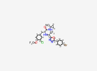 N#CC1(NC(=O)[C@H](Cc2ccc(OC(F)(F)F)c(Cl)c2)NC(c2nnc(-c3ccc(Br)cc3)o2)C(F)(F)F)CC1